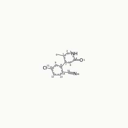 Cc1c[nH]c(=O)cc1-c1cc(Cl)ccc1C#N